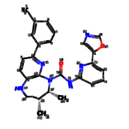 Cc1cccc(-c2ccc3c(n2)N(C(=O)Nc2cccc(-c4cnco4)n2)[C@H](C)[C@H](C)CN3)c1